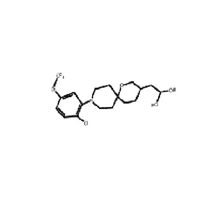 OC(O)CC1CCC2(CCN(c3cc(OC(F)(F)F)ccc3Cl)CC2)OC1